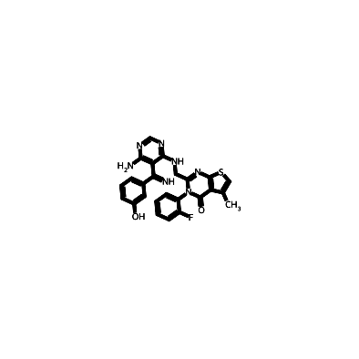 Cc1csc2nc(CNc3ncnc(N)c3C(=N)c3cccc(O)c3)n(-c3ccccc3F)c(=O)c12